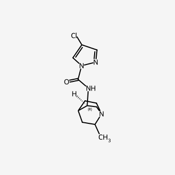 CC1CC2CCN1C[C@@H]2NC(=O)n1cc(Cl)cn1